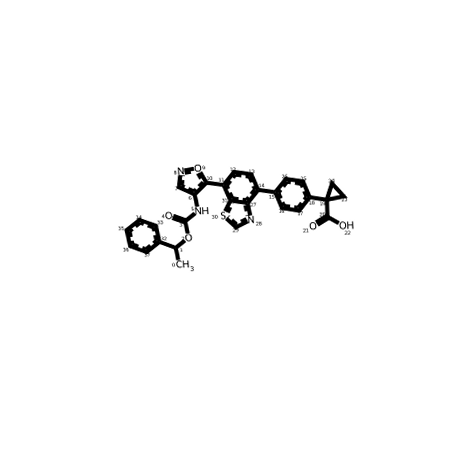 CC(OC(=O)Nc1cnoc1-c1ccc(-c2ccc(C3(C(=O)O)CC3)cc2)c2ncsc12)c1ccccc1